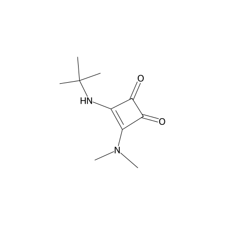 CN(C)c1c(NC(C)(C)C)c(=O)c1=O